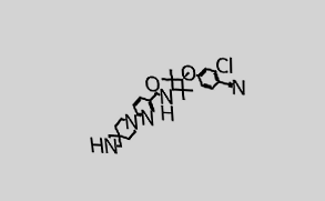 CC1(C)[C@H](NC(=O)c2ccc(N3CCC4(CC3)CNC4)nc2)C(C)(C)[C@H]1Oc1ccc(C#N)c(Cl)c1